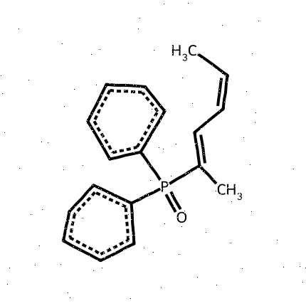 C/C=C\C=C(/C)P(=O)(c1ccccc1)c1ccccc1